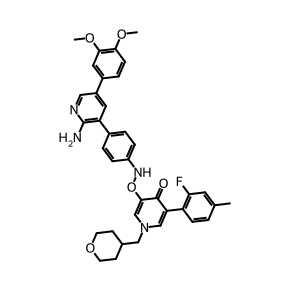 COc1ccc(-c2cnc(N)c(-c3ccc(NOc4cn(CC5CCOCC5)cc(-c5ccc(C)cc5F)c4=O)cc3)c2)cc1OC